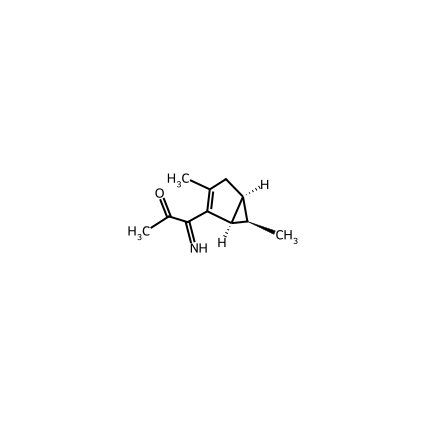 CC(=O)C(=N)C1=C(C)C[C@H]2[C@@H](C)[C@@H]12